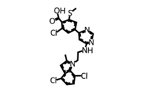 CSc1cc(-c2cc(NCCn3c(C)cc4c(Cl)ccc(Cl)c43)ncn2)cc(Cl)c1C(=O)O